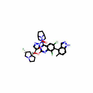 Cc1ccc2[nH]ncc2c1-c1c(Cl)cc2c(N3CC4CCC(C3)N4C(=O)n3cc(C#N)cn3)nc(OC[C@@]34CCCN3C[C@H](F)C4)nc2c1F